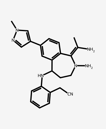 C/C(N)=C1\c2ccc(-c3cnn(C)c3)cc2C(Nc2ccccc2CC#N)CCN1N